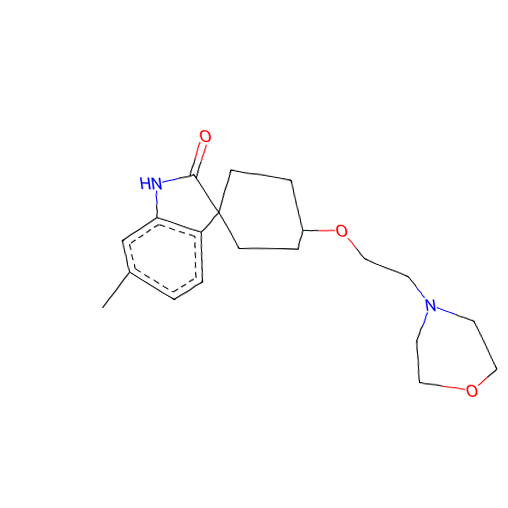 Cc1ccc2c(c1)NC(=O)C21CCC(OCCN2CCOCC2)CC1